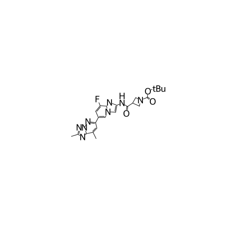 Cc1nc2c(C)cc(-c3cc(F)c4nc(NC(=O)C5CN(C(=O)OC(C)(C)C)C5)cn4c3)nn2n1